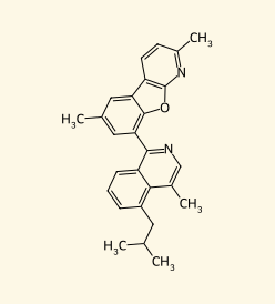 Cc1cc(-c2ncc(C)c3c(CC(C)C)cccc23)c2oc3nc(C)ccc3c2c1